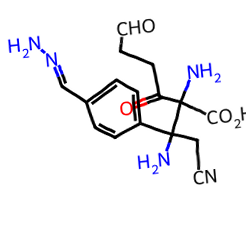 N#CCC(N)(c1ccc(C=NN)cc1)C(N)(C(=O)O)C(=O)CCC=O